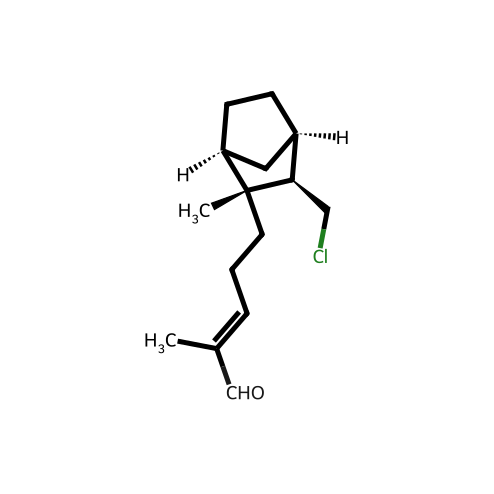 C/C(C=O)=C\CC[C@]1(C)[C@H]2CC[C@H](C2)[C@H]1CCl